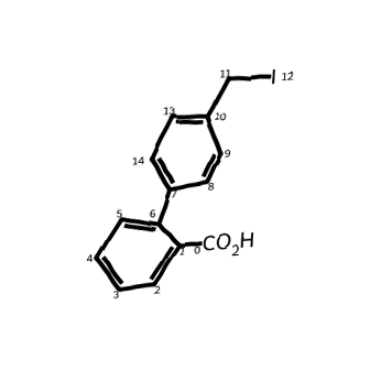 O=C(O)c1ccccc1-c1ccc(CI)cc1